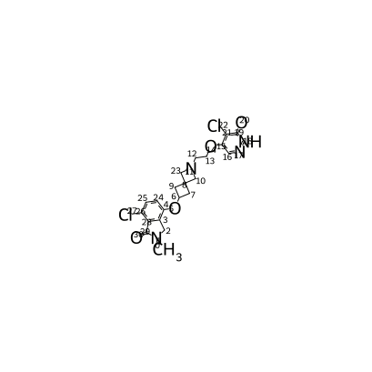 CN1Cc2c(OC3CC4(C3)CN(CCOc3cn[nH]c(=O)c3Cl)C4)ccc(Cl)c2C1=O